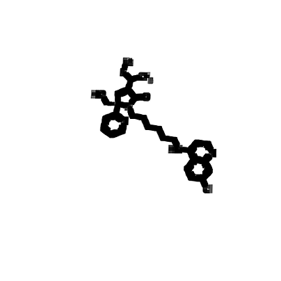 CCSC(C1=C[C@](CO)(c2ccccn2)N(CCCCCCNc2ccnc3cc(Cl)ccc23)C1=O)C(F)(F)F